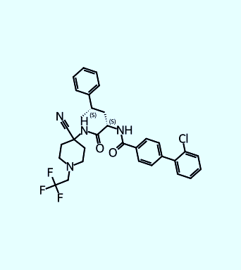 C[C@@H](C[C@H](NC(=O)c1ccc(-c2ccccc2Cl)cc1)C(=O)NC1(C#N)CCN(CC(F)(F)F)CC1)c1ccccc1